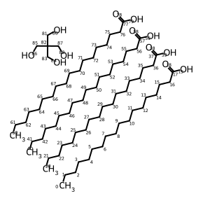 CCCCCCCCCCCCCCCCCC(=O)O.CCCCCCCCCCCCCCCCCC(=O)O.CCCCCCCCCCCCCCCCCC(=O)O.CCCCCCCCCCCCCCCCCC(=O)O.OCC(CO)(CO)CO